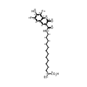 CCN(CCCCCCCCCCCCNC(=O)c1cc2cc(F)c(O)c(F)c2oc1=O)C(=O)O